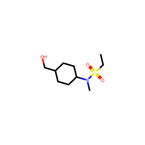 CCS(=O)(=O)N(C)C1CCC(CO)CC1